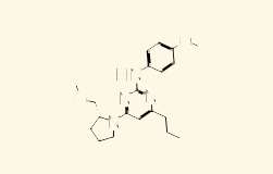 CCCc1cc(N2CCC[C@H]2COC)nc(Nc2ccc(OC)cc2)n1